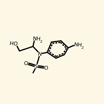 CS(=O)(=O)N(c1ccc(N)cc1)C(N)CO